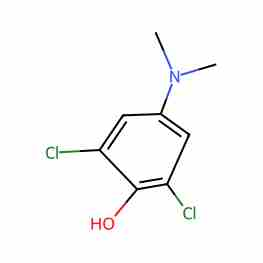 CN(C)c1cc(Cl)c(O)c(Cl)c1